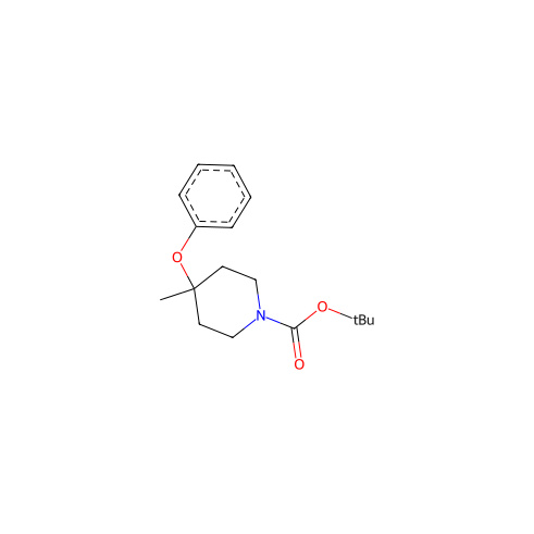 CC(C)(C)OC(=O)N1CCC(C)(Oc2ccccc2)CC1